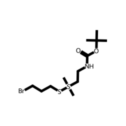 CC(C)(C)OC(=O)NCCS(C)(C)SCCCBr